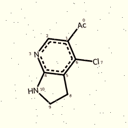 CC(=O)c1cnc2c(c1Cl)CCN2